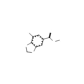 COC(=O)c1cc(Br)c2c(c1)OCO2